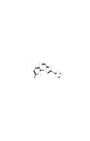 Cc1cc(C(F)(F)F)c2ncc3nc(-c4nnco4)cn3c2n1